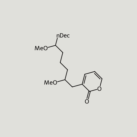 CCCCCCCCCCC(CCCC(Cc1cccoc1=O)OC)OC